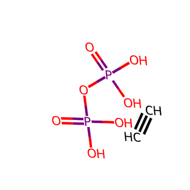 C#C.O=P(O)(O)OP(=O)(O)O